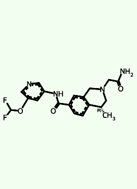 C[C@H]1CN(CC(N)=O)Cc2cc(C(=O)Nc3cncc(OC(F)F)c3)ccc21